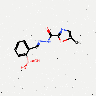 Cc1cnc(C(=O)N/N=C/c2ccccc2B(O)O)o1